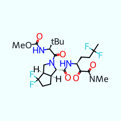 CNC(=O)C(=O)[C@H](CCC(C)(F)F)NC(=O)[C@@H]1[C@H]2CCC(F)(F)[C@H]2CN1C(=O)[C@@H](NC(=O)OC)C(C)(C)C